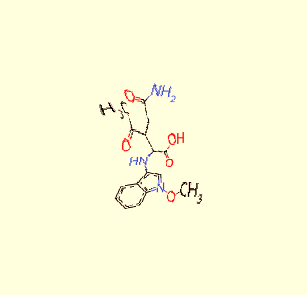 COn1cc(N[C@H](C(=O)O)C(CC(N)=O)C(C)=O)c2ccccc21